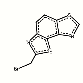 BrCc1nc2ccc3scnc3c2s1